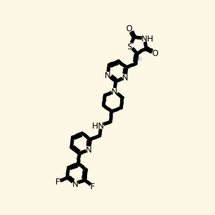 O=C1NC(=O)/C(=C/c2ccnc(N3CCC(CNCc4cccc(-c5cc(F)nc(F)c5)n4)CC3)n2)S1